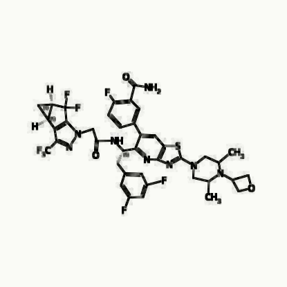 CC1CN(c2nc3nc([C@H](Cc4cc(F)cc(F)c4)NC(=O)Cn4nc(C(F)(F)F)c5c4C(F)(F)[C@@H]4C[C@H]54)c(-c4ccc(F)c(C(N)=O)c4)cc3s2)CC(C)N1C1COC1